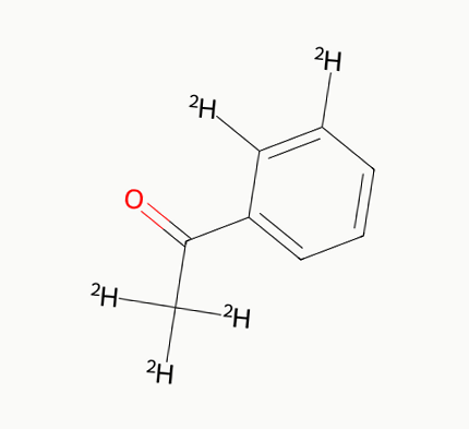 [2H]c1cccc(C(=O)C([2H])([2H])[2H])c1[2H]